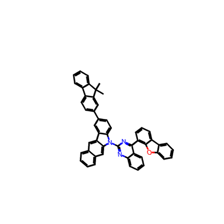 CC1(C)c2ccccc2-c2ccc(-c3ccc4c(c3)c3cc5ccccc5cc3n4-c3nc(-c4cccc5c4oc4ccccc45)c4ccccc4n3)cc21